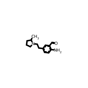 CC1CCCN1CCc1ccc(N)c(C=O)c1